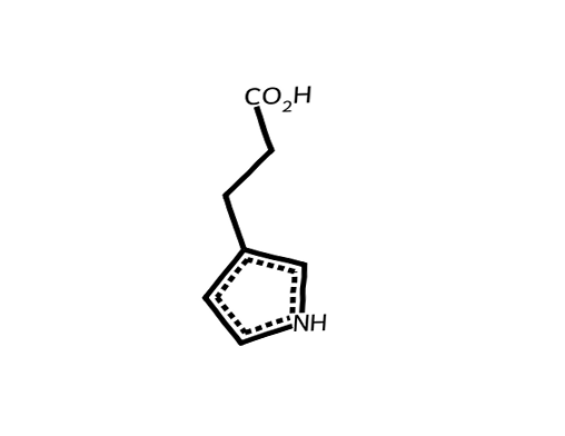 O=C(O)CCc1cc[nH]c1